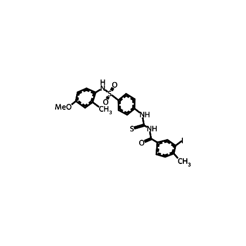 COc1ccc(NS(=O)(=O)c2ccc(NC(=S)NC(=O)c3ccc(C)c(I)c3)cc2)c(C)c1